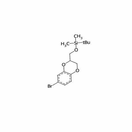 CC(C)(C)[Si](C)(C)OCC1COc2ccc(Br)cc2O1